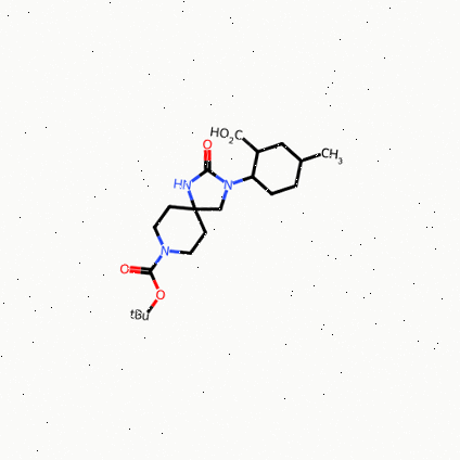 CC1CCC(N2CC3(CCN(C(=O)OC(C)(C)C)CC3)NC2=O)C(C(=O)O)C1